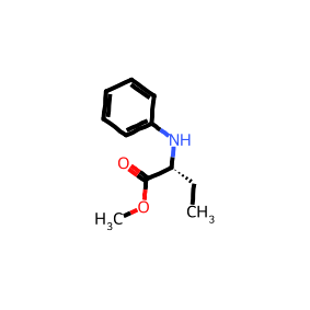 CC[C@@H](Nc1ccccc1)C(=O)OC